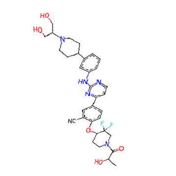 CC(O)C(=O)N1CCC(Oc2ccc(-c3ccnc(Nc4cccc(C5CCN(C(CO)CO)CC5)c4)n3)cc2C#N)C(F)(F)C1